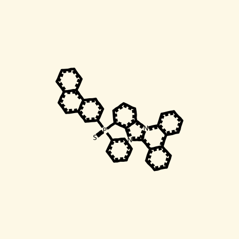 S=P(c1ccccc1)(c1ccc2c(ccc3ccccc32)c1)c1cccc2c1nc1c3ccccc3c3ccccc3n21